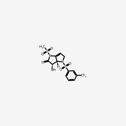 CCC[C@H]1C(=O)N(S(C)(=O)=O)C2=CCN(S(=O)(=O)c3cccc(C(F)(F)F)c3)[C@@H]21